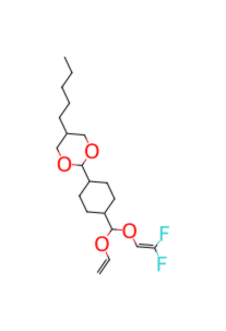 C=COC(OC=C(F)F)C1CCC(C2OCC(CCCCC)CO2)CC1